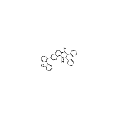 c1ccc(C2Nc3ccc4cc(-c5cccc6oc7ccccc7c56)ccc4c3NC2c2ccccc2)cc1